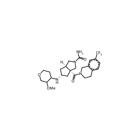 COC1COCCC1N[C@@H]1C[C@H]2CN(C(N)=O)C[C@@]2(C(=O)N2CCc3ccc(C(F)(F)F)cc3C2)C1